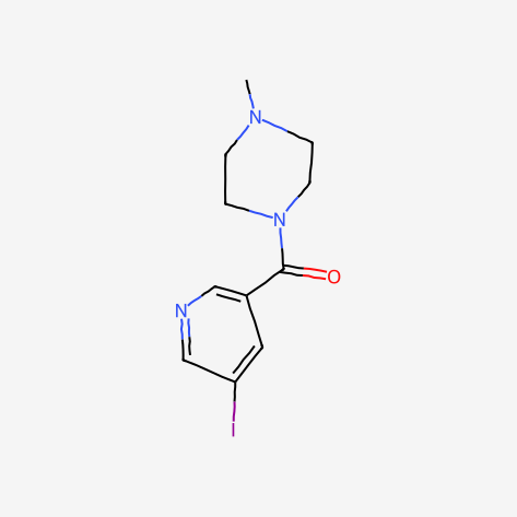 CN1CCN(C(=O)c2cncc(I)c2)CC1